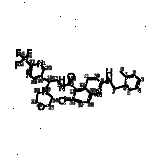 Cc1ccccc1CNc1ccc2c(C(=O)NCC(c3cnc(C(F)(F)F)nc3)N3CCOCC3)c(Cl)ccc2n1